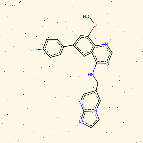 COc1cc(-c2ccc(F)cc2)cc2c(NCc3cnc4nccn4c3)ncnc12